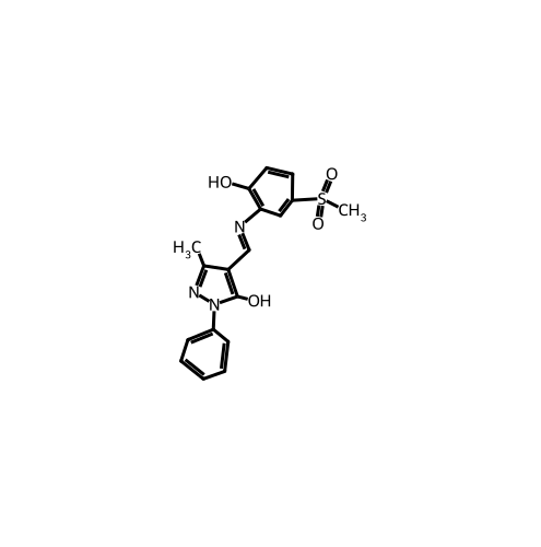 Cc1nn(-c2ccccc2)c(O)c1/C=N/c1cc(S(C)(=O)=O)ccc1O